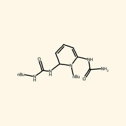 CCCCNC(=O)NC1C=CC=C(NC(N)=O)N1CCCC